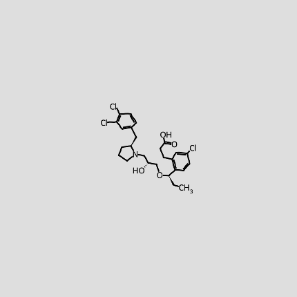 CC[C@@H](OC[C@H](O)CN1CCC[C@H]1Cc1ccc(Cl)c(Cl)c1)c1ccc(Cl)cc1CCC(=O)O